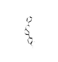 O=C(c1ccccc1)N(F)c1cc(-c2ccc(Cl)cc2)cs1